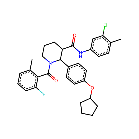 Cc1ccc(NC(=O)C2CCCN(C(=O)c3c(C)cccc3F)C2c2ccc(OC3CCCC3)cc2)cc1Cl